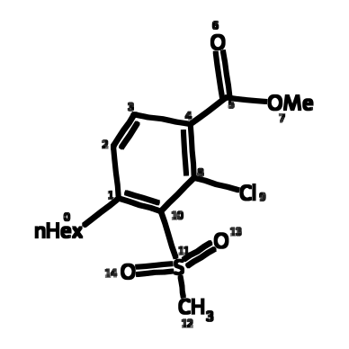 CCCCCCc1ccc(C(=O)OC)c(Cl)c1S(C)(=O)=O